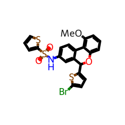 COc1cccc2c1-c1ccc(NS(=O)(=O)c3cccs3)cc1C(c1ccc(Br)s1)O2